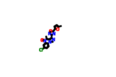 Cc1ccc(-c2nc(-c3ncn4c3c(C)[n+]([O-])c3cc(Cl)ccc34)no2)o1